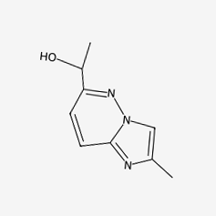 Cc1cn2nc(C(C)O)ccc2n1